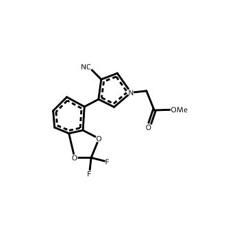 COC(=O)Cn1cc(C#N)c(-c2cccc3c2OC(F)(F)O3)c1